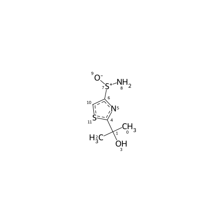 CC(C)(O)c1nc([S+](N)[O-])cs1